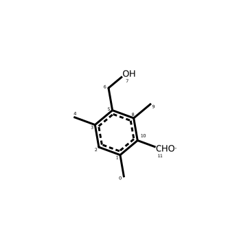 Cc1cc(C)c(CO)c(C)c1[C]=O